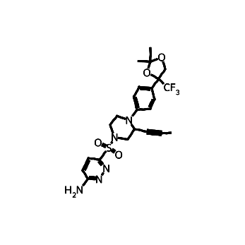 CC#CC1CN(S(=O)(=O)c2ccc(N)nn2)CCN1c1ccc(C2(C(F)(F)F)COC(C)(C)O2)cc1